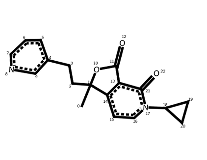 CC1(CCc2cccnc2)OC(=O)c2c1ccn(C1CC1)c2=O